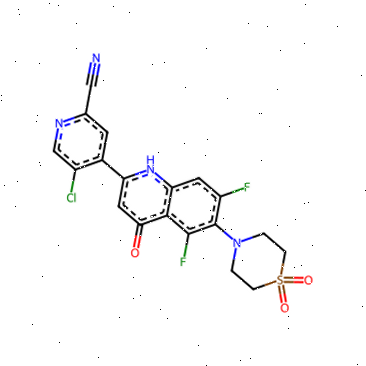 N#Cc1cc(-c2cc(=O)c3c(F)c(N4CCS(=O)(=O)CC4)c(F)cc3[nH]2)c(Cl)cn1